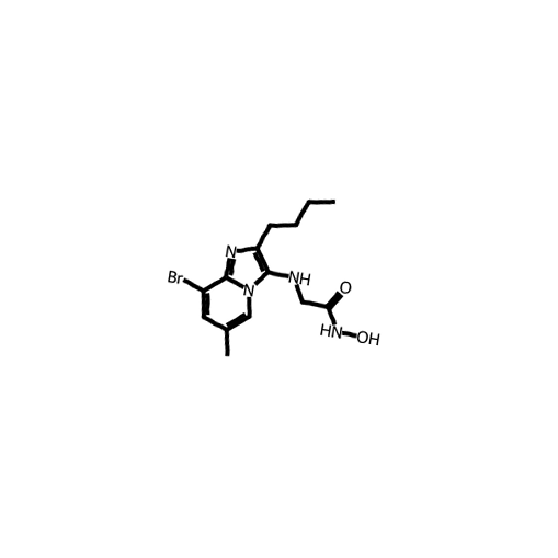 CCCCc1nc2c(Br)cc(C)cn2c1NCC(=O)NO